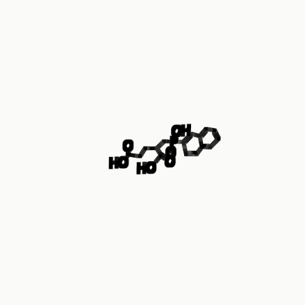 O=C(O)CCC(CP(=O)(O)c1ccc2ccccc2c1)C(=O)O